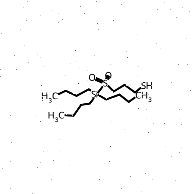 CCCC[Si](CCCC)(CCCC)S(=O)(=O)CCCS